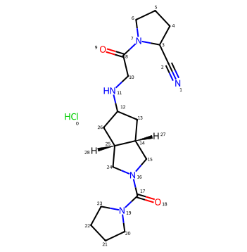 Cl.N#CC1CCCN1C(=O)CNC1C[C@@H]2CN(C(=O)N3CCCC3)C[C@@H]2C1